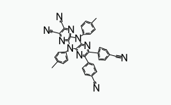 Cc1ccc(N2c3nc(C#N)c(C#N)nc3N(c3ccc(C)cc3)c3nc(-c4ccc(C#N)cc4)c(-c4ccc(C#N)cc4)nc32)cc1